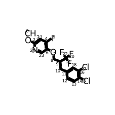 COc1cc(I)c(OCC(Cc2ccc(Cl)c(Cl)c2)C(F)(F)F)cn1